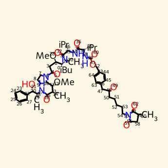 CC[C@H](C)[C@@H]([C@@H](CC(=O)N1CCC[C@H]1[C@H](OC)[C@@H](C)C(=O)N[C@H](C)[C@@H](O)c1ccccc1)OC)N(C)C(=O)[C@@H](NC(=O)[C@@H](NC(=O)OCc1ccc(CC(=O)CCCCCN2C(=O)CC(C)C2=O)cc1)C(C)C)C(C)C